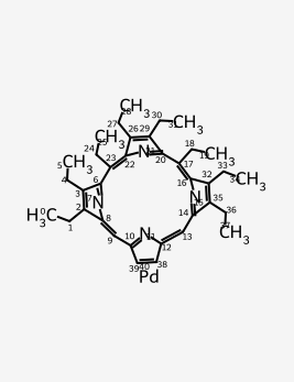 CCC1=C(CC)C2=NC1=CC1=NC(=CC3=NC(=C(CC)C4=NC(=C2CC)C(CC)=C4CC)C(CC)=C3CC)C=C1.[Pd]